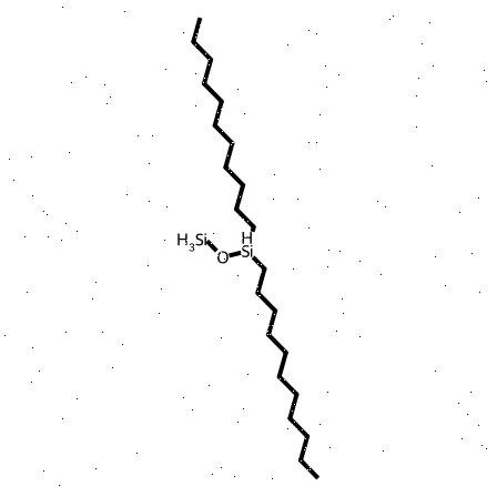 CCCCCCCCCCC[SiH](CCCCCCCCCCC)O[SiH3]